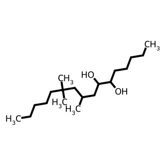 CCCCCC(O)C(O)CC(C)CC(C)(C)CCCCC